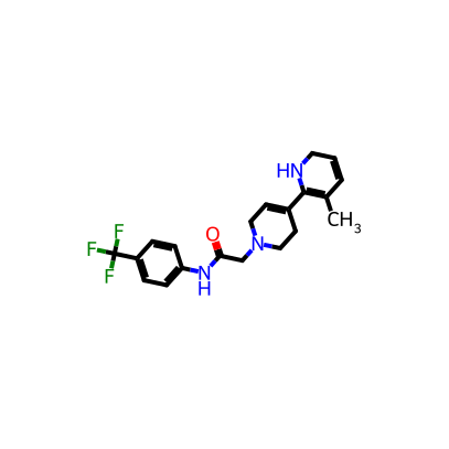 CC1=C(C2=CCN(CC(=O)Nc3ccc(C(F)(F)F)cc3)CC2)NCC=C1